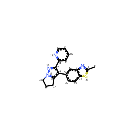 Cc1nc2cc(-c3c(-c4ccccn4)nn4c3CCC4)ccc2s1